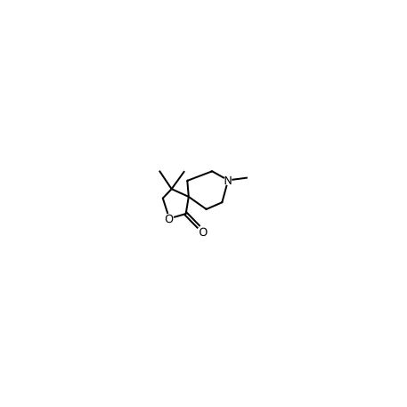 CN1CCC2(CC1)C(=O)OCC2(C)C